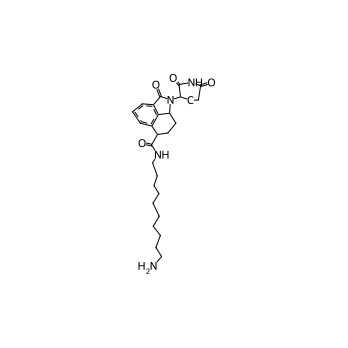 NCCCCCCCCCCNC(=O)C1CCC2c3c(cccc31)C(=O)N2C1CCC(=O)NC1=O